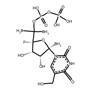 BC(B)(OP(=O)(O)OP(=O)(O)O)[C@@]1(F)O[C@@](B)(n2cc(CO)c(=O)[nH]c2=O)[C@H](O)[C@@H]1O